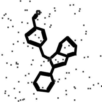 O=Cc1ccc(Cn2c(-c3ccccc3)cc3ccccc32)cc1